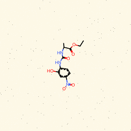 CCOC(=O)C(C)NC(=O)Nc1ccc([N+](=O)[O-])cc1O